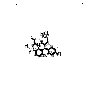 CCC(N)Nc1c(OC)ccc2nc3cc(Cl)ccc3c(C(CC)CCl)c12.Cl.Cl